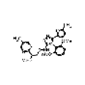 COc1cccc(OC)c1-n1c(NSCC(OC)c2ncc(C)cn2)nnc1-c1ccc(C)o1